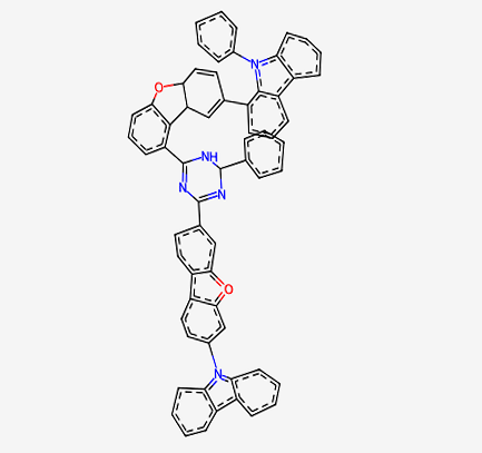 C1=CC2Oc3cccc(C4=NC(c5ccc6c(c5)oc5cc(-n7c8ccccc8c8ccccc87)ccc56)=NC(c5ccccc5)N4)c3C2C=C1c1cccc2c3ccccc3n(-c3ccccc3)c12